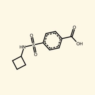 O=C(O)c1ccc(S(=O)(=O)NC2CCC2)cc1